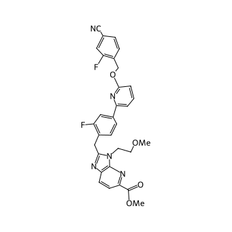 COCCn1c(Cc2ccc(-c3cccc(OCc4ccc(C#N)cc4F)n3)cc2F)nc2ccc(C(=O)OC)nc21